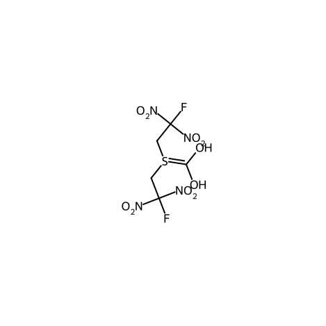 O=[N+]([O-])C(F)(CS(CC(F)([N+](=O)[O-])[N+](=O)[O-])=C(O)O)[N+](=O)[O-]